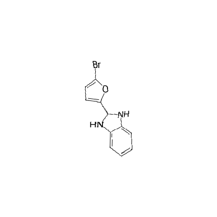 Brc1ccc(C2Nc3ccccc3N2)o1